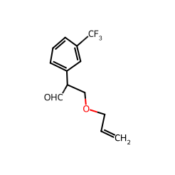 C=CCOCC(C=O)c1cccc(C(F)(F)F)c1